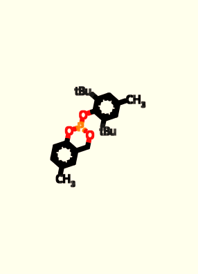 Cc1ccc2c(c1)COP(Oc1c(C(C)(C)C)cc(C)cc1C(C)(C)C)O2